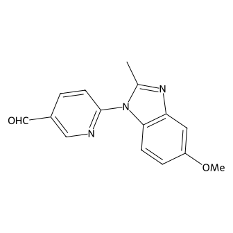 COc1ccc2c(c1)nc(C)n2-c1ccc(C=O)cn1